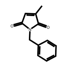 CC1=CC(=O)N(Cc2ccccc2)C1=O